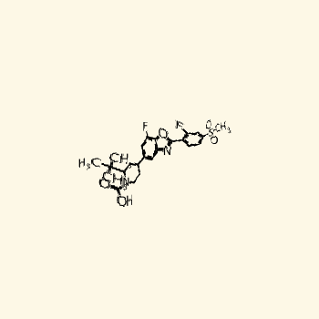 CC(C)(C)C1CC(c2cc(F)c3oc(-c4ccc(S(C)(=O)=O)cc4F)nc3c2)CCN1C(=O)O